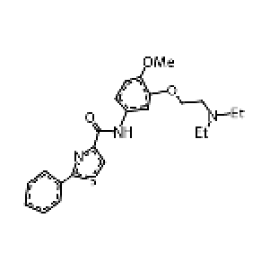 CCN(CC)CCOc1cc(NC(=O)c2csc(-c3ccccc3)n2)ccc1OC